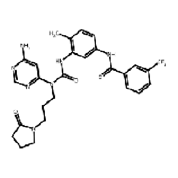 Cc1ccc(NC(=O)c2cccc(C(F)(F)F)c2)cc1NC(=O)N(CCCN1CCCC1=O)c1cc(N)ncn1